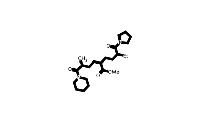 CCC(CCC(CCC(C)C(=O)N1CCCCC1)C(=O)OC)C(=O)N1CCCC1